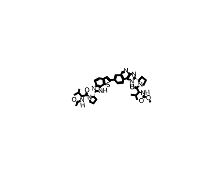 COC(=O)N[C@H](C(=O)N1CCC[C@H]1c1nc2ncc3cc(-c4cc5ccc6nc([C@@H]7CCCN7C(=O)[C@@H](NC(C)=O)C(C)C)[nH]c6c5s4)ccc3c2[nH]1)C(C)C